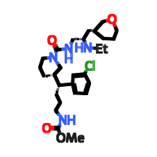 CCN[C@H](CNC(=O)N1CCC[C@@H]([C@@H](CCCNC(=O)OC)c2cccc(Cl)c2)C1)C[C@H]1CCCOC1